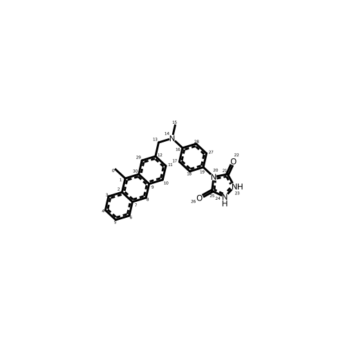 Cc1c2ccccc2cc2ccc(CN(C)c3ccc(-n4c(=O)[nH][nH]c4=O)cc3)cc12